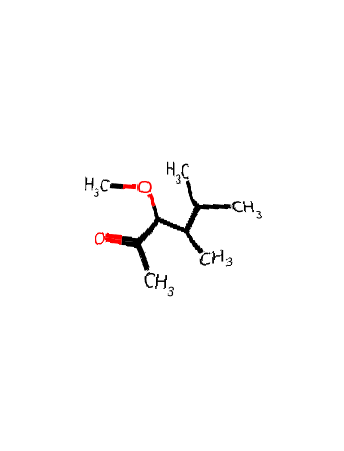 COC(C(C)=O)C(C)C(C)C